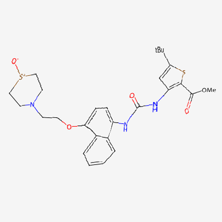 COC(=O)c1sc(C(C)(C)C)cc1NC(=O)Nc1ccc(OCCN2CC[S+]([O-])CC2)c2ccccc12